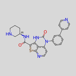 O=C(N[C@@H]1CCCNC1)c1sc2nccc3c2c1NC(=O)N3c1cccc(-c2ccncc2)c1